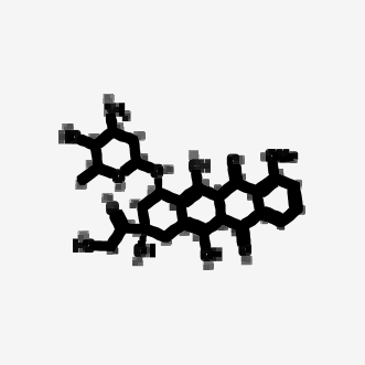 COc1cccc2c1C(=O)C1C(O)=C3C(=C(O)C1C2=O)C[C@@](O)(C(=O)CO)C[C@@H]3OC1CC(N)C(O)C(C)O1